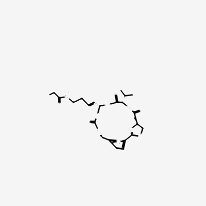 CC(C)[C@@H]1NC(=O)[C@]2(C)CSC(=N2)C2=CCC(=N2)CNC(=O)C[C@@H](/C=C/CCNC(=O)CS)OC1=O